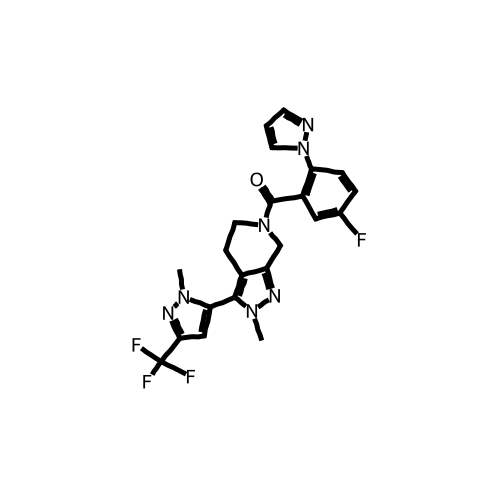 Cn1nc(C(F)(F)F)cc1-c1c2c(nn1C)CN(C(=O)c1cc(F)ccc1-n1cccn1)CC2